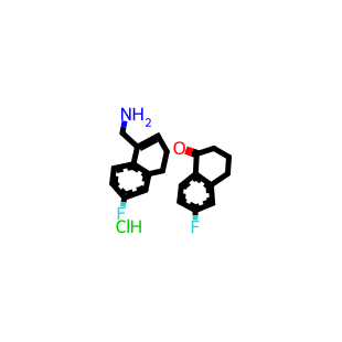 Cl.NCC1=CCCc2cc(F)ccc21.O=C1CCCc2cc(F)ccc21